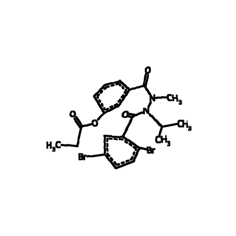 CCC(=O)Oc1cccc(C(=O)N(C)N(C(=O)c2cc(Br)ccc2Br)C(C)C)c1